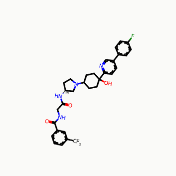 O=C(CNC(=O)c1cccc(C(F)(F)F)c1)N[C@@H]1CCN(C2CCC(O)(c3ccc(-c4ccc(F)cc4)cn3)CC2)C1